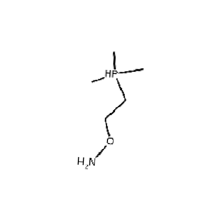 C[PH](C)(C)CCON